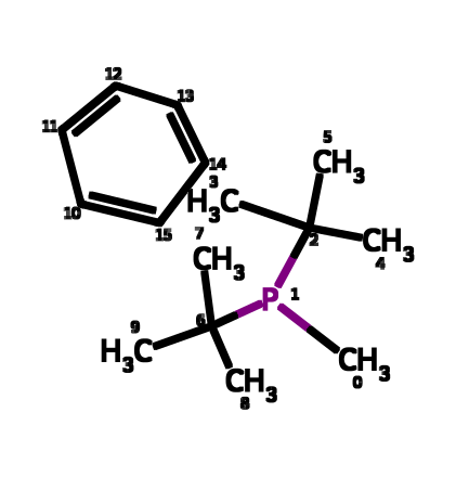 CP(C(C)(C)C)C(C)(C)C.c1ccccc1